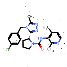 Cc1ccnc(C)c1NC(=O)N1CCC[C@@H]1c1nnc(C)n1Cc1ccc(Cl)cc1